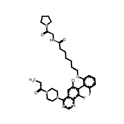 CCC(=O)N1CCN(c2ncnc3c(F)c(-c4c(F)cccc4OCCCCCCC(=O)NCC(=O)N4CCCC4)c(Cl)cc23)CC1